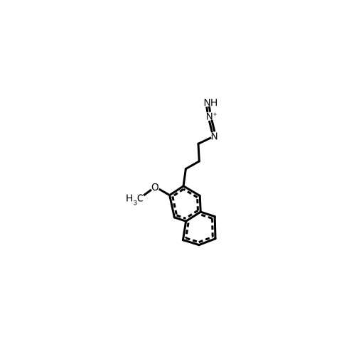 COc1cc2ccccc2cc1CCCN=[N+]=N